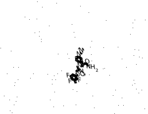 CON=C(COc1cc(F)c(F)c(C)c1F)Cn1cc(C(N)=O)c2cc(N=CN(C)C)ccc21